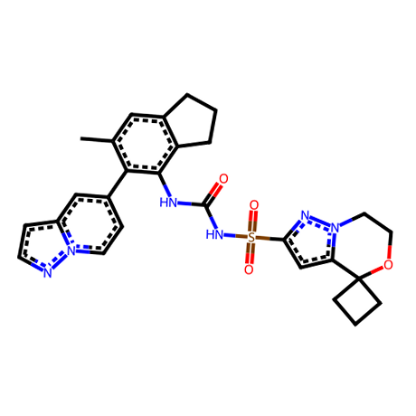 Cc1cc2c(c(NC(=O)NS(=O)(=O)c3cc4n(n3)CCOC43CCC3)c1-c1ccn3nccc3c1)CCC2